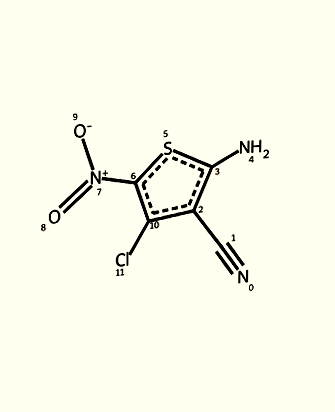 N#Cc1c(N)sc([N+](=O)[O-])c1Cl